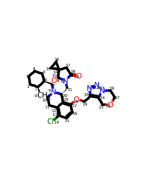 C[C@H]1CCCC[C@H]1C(=O)N1CCc2c(Cl)ccc(OCc3nnn4c3COCC4)c2[C@H]1CN1CC2(CC2)CC1=O